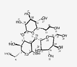 CC(C)(C)C1O[C@H](CO)[C@@H](O)[C@H](O[C@@H]2O[C@H](CCO)[C@@H](O)[C@H](O)[C@H]2O)[C@H]1O[C@@H]1O[C@H](CO)[C@@H](O)[C@H](O)[C@H]1O